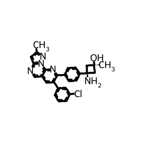 Cc1cc2ncc3cc(-c4cccc(Cl)c4)c(-c4ccc([C@]5(N)C[C@@](C)(O)C5)cc4)nc3n2n1